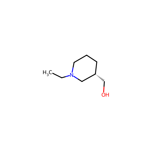 CCN1CCC[C@H](CO)C1